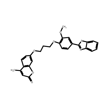 COc1cc(-c2nc3ccccc3s2)ccc1OCCCOc1ccc2c(C)cc(=O)oc2c1